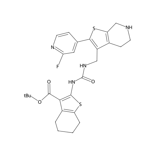 CC(C)(C)OC(=O)c1c(NC(=O)NCc2c(-c3ccnc(F)c3)sc3c2CCNC3)sc2c1CCCC2